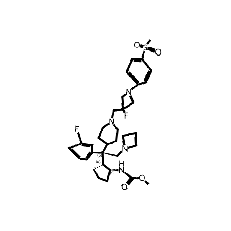 COC(=O)N[C@H]1CCC[C@@H]1[C@](CN1CCC1)(c1cccc(F)c1)C1CCN(CC2(F)CN(c3ccc(S(C)(=O)=O)cc3)C2)CC1